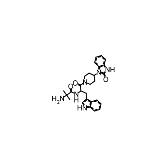 CC(C)(N)C(=O)NC(Cc1c[nH]c2ccccc12)C(=O)N1CCC(n2c(=O)[nH]c3ccccc32)CC1